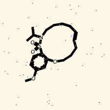 COc1ccc2c(c1)OCCC/C=C/CCCCN(C(C)C)S2(=O)=O